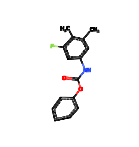 Cc1cc(NC(=O)Oc2ccccc2)cc(F)c1C